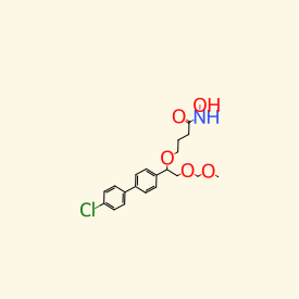 COCOCC(OCCCC(=O)NO)c1ccc(-c2ccc(Cl)cc2)cc1